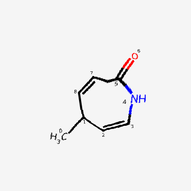 CC1C=CNC(=O)C=C1